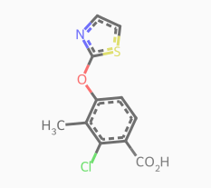 Cc1c(Oc2nccs2)ccc(C(=O)O)c1Cl